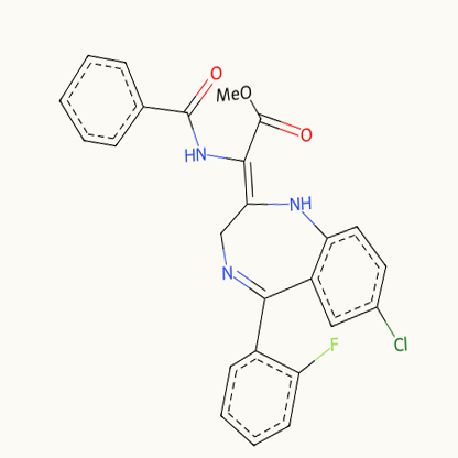 COC(=O)C(NC(=O)c1ccccc1)=C1CN=C(c2ccccc2F)c2cc(Cl)ccc2N1